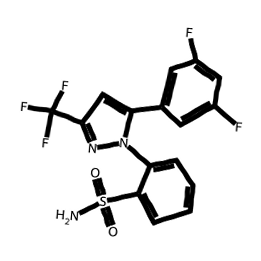 NS(=O)(=O)c1ccccc1-n1nc(C(F)(F)F)cc1-c1cc(F)cc(F)c1